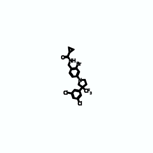 O=C(NCc1ccc(N2CCC(c3cc(Cl)cc(Cl)c3)(C(F)(F)F)C2)cc1Br)C1CC1